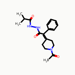 BC(=O)N1CCC(=C(C(=O)NNC(=O)C(C)C)c2ccccc2)CC1